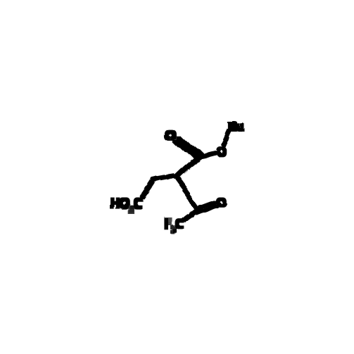 CCC(C)OC(=O)C(CC(=O)O)C(=O)C(F)(F)F